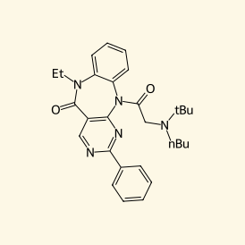 CCCCN(CC(=O)N1c2ccccc2N(CC)C(=O)c2cnc(-c3ccccc3)nc21)C(C)(C)C